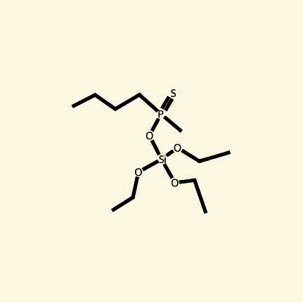 CCCCP(C)(=S)O[Si](OCC)(OCC)OCC